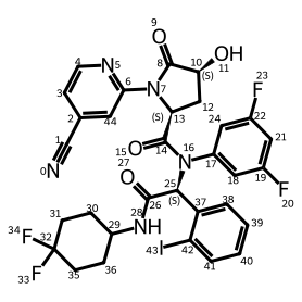 N#Cc1ccnc(N2C(=O)[C@@H](O)C[C@H]2C(=O)N(c2cc(F)cc(F)c2)[C@H](C(=O)NC2CCC(F)(F)CC2)c2ccccc2I)c1